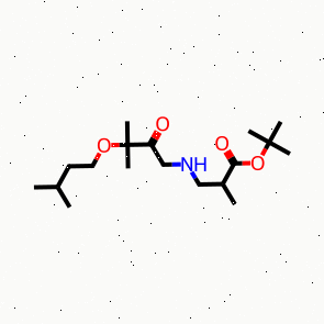 CC(C)CCOC(C)(C)C(=O)CNCC(C)C(=O)OC(C)(C)C